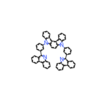 c1cc(-c2nc3ccccc3c3ccccc23)cc(-n2c3ccccc3c3c4c5ccccc5n(-c5cccc(-c6nc7ccccc7c7ccccc67)c5)c4ccc32)c1